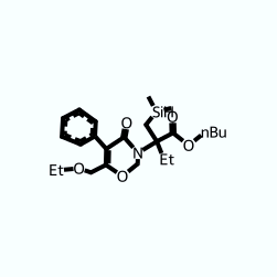 CCCCOC(=O)C(CC)(C[SiH](C)C)N1COC(COCC)=C(c2ccccc2)C1=O